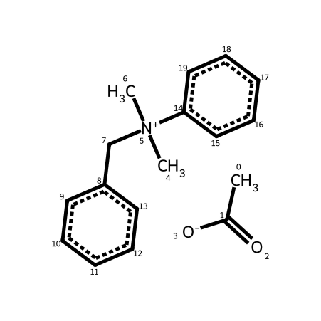 CC(=O)[O-].C[N+](C)(Cc1ccccc1)c1ccccc1